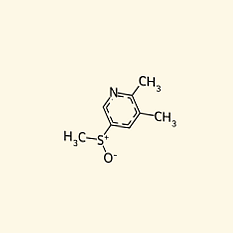 Cc1cc([S+](C)[O-])cnc1C